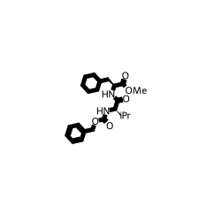 COC(=O)[C@H](CC1CCCCC1)NC(=O)[C@@H](NC(=O)OCc1ccccc1)C(C)C